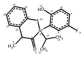 CC1C(=O)[N+](c2cc(F)ccc2O)(C(C)C)Sc2ccccc21